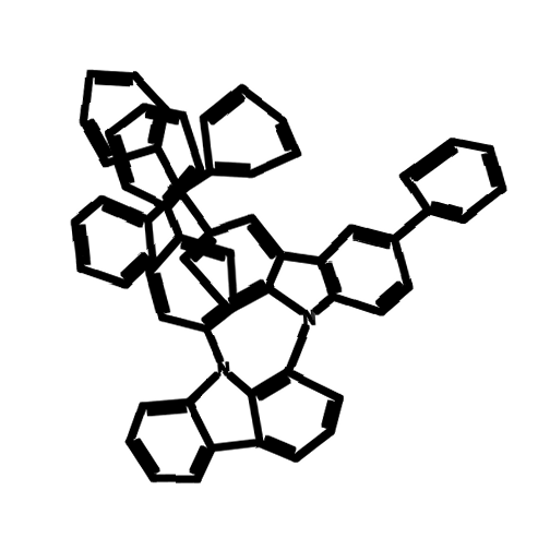 c1ccc(-c2ccc(-n3c4ccccc4c4cccc(-n5c6ccc(-c7ccccc7)cc6c6cc([Si](c7ccccc7)(c7ccccc7)c7ccccc7)ccc65)c43)cc2)cc1